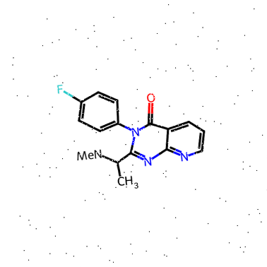 CNC(C)c1nc2ncccc2c(=O)n1-c1ccc(F)cc1